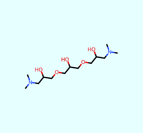 CN(C)CC(O)COCC(O)COCC(O)CN(C)C